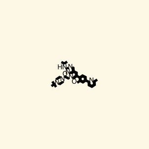 Cc1cccc(-c2ccc(-c3cc4cnc(NC(C)C)nc4n(CC(=O)N4CCN(C(C)(C)C)CC4)c3=O)c(C)c2)n1